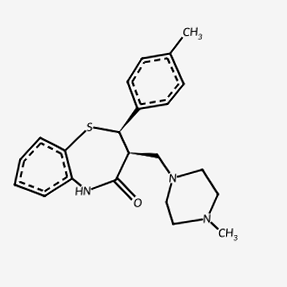 Cc1ccc([C@@H]2Sc3ccccc3NC(=O)[C@@H]2CN2CCN(C)CC2)cc1